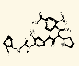 COc1cc(CC(=O)C(C2CCCN2)N(C)c2ccc(C(=O)O)cc2[N+](=O)[O-])ccc1NC(=O)Nc1ccccc1F